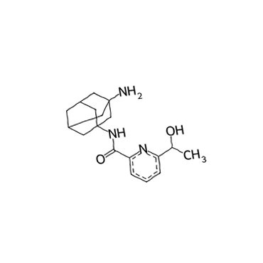 CC(O)c1cccc(C(=O)NC23CC4CC(CC(N)(C4)C2)C3)n1